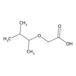 CC(C)C(C)OCC(=O)O